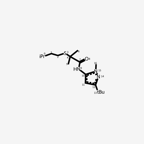 CC(C)CCSC(C)(C)C(=O)Nc1cc(C(C)(C)C)nn1C